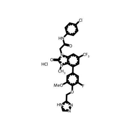 COc1cc(-c2cc(C(F)(F)F)cc3c2n(C)c(=O)n3CC(=O)Nc2ccc(Cl)cc2)cc(F)c1OCc1nnc[nH]1.Cl